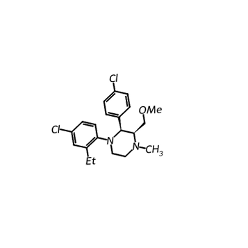 CCc1cc(Cl)ccc1N1CCN(C)[C@H](COC)[C@@H]1c1ccc(Cl)cc1